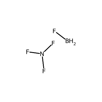 BF.FN(F)F